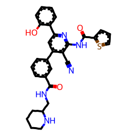 N#Cc1c(-c2cccc(C(=O)NCC3CCCCN3)c2)cc(-c2ccccc2O)nc1NC(=O)c1cccs1